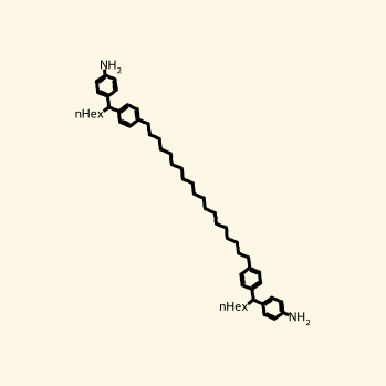 CCCCCCC(c1ccc(N)cc1)c1ccc(CCCCCCCCCCCCCCCCCCCc2ccc(C(CCCCCC)c3ccc(N)cc3)cc2)cc1